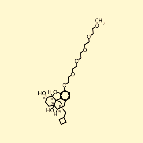 COCCOCCOCCOCCOCCOc1ccc2c3c1O[C@H]1[C@@H](O)CC[C@@]4(O)[C@@H](C2)N(CC2CCC2)CC[C@]314